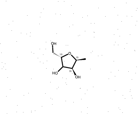 C[C@@H]1O[C@@H](CO)C(O)[C@@H]1O